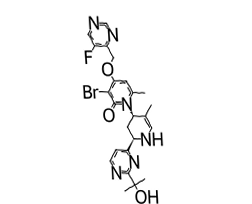 CC1=CN[C@@H](c2ccnc(C(C)(C)O)n2)C[C@H]1n1c(C)cc(OCc2ncncc2F)c(Br)c1=O